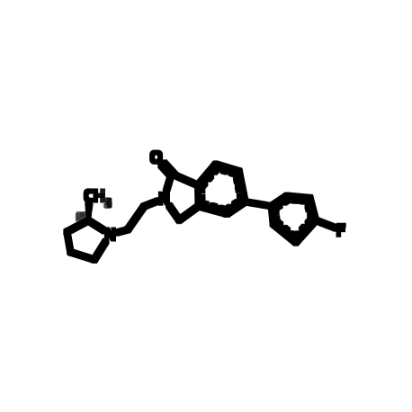 C[C@@H]1CCCN1CCN1Cc2cc(-c3ccc(F)cc3)ccc2C1=O